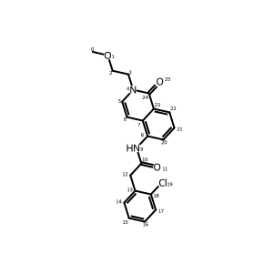 COCCn1ccc2c(NC(=O)Cc3ccccc3Cl)cccc2c1=O